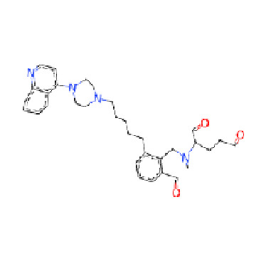 CN(Cc1c(C=O)cccc1CCCCCN1CCN(c2ccnc3ccccc23)CC1)C(C=O)CCC=O